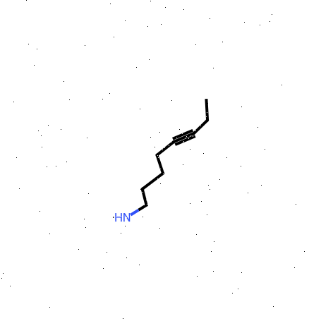 CCC#CCCCC[NH]